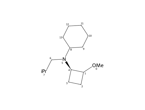 COC1CC[C@H]1N(CC(C)C)C1CCCCC1